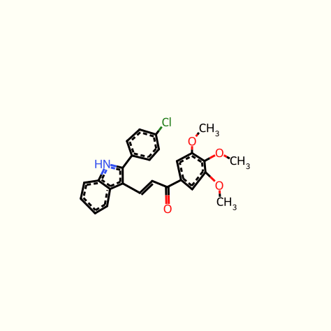 COc1cc(C(=O)C=Cc2c(-c3ccc(Cl)cc3)[nH]c3ccccc23)cc(OC)c1OC